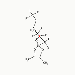 CCO[Si](OCC)(OCC)C(F)(F)C(F)(F)C(F)(F)CCC(F)(F)F